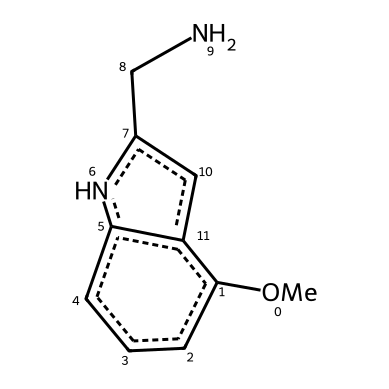 COc1cccc2[nH]c(CN)cc12